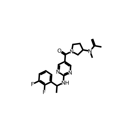 C=C(C)N(C)C1CCN(C(=O)c2cnc(NC(C)c3cccc(F)c3F)nc2)C1